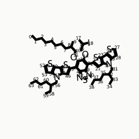 CCCCCCCCC(C)COc1c(OCC(C)I)c(-c2cc3c(s2)c2sccc2n3CC(CC)CCCC)c2nsnc2c1-c1cc2c(s1)c1sccc1n2CC(CC)CCCC